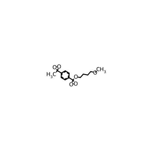 COCCCCOC1(c2ccc(C3(C)OO3)cc2)OO1